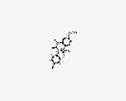 CC(C)Oc1ccc2c(c1)N(C)C(=O)N(c1ccc(F)cc1)S2(=O)=O